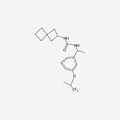 CC(NC(=O)NC1CC2(CCC2)C1)c1cccc(OC(C)C(F)(F)F)c1